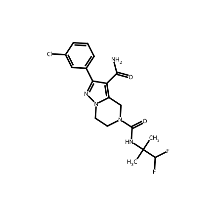 CC(C)(NC(=O)N1CCn2nc(-c3cccc(Cl)c3)c(C(N)=O)c2C1)C(F)F